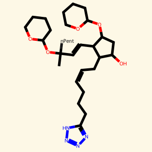 CCCCCC(C)(C=CC1C(OC2CCCCO2)CC(O)C1C/C=C\CCCc1nnn[nH]1)OC1CCCCO1